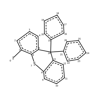 Ic1cccc2c1Sc1ccccc1C2(c1ccccc1)c1ccccc1